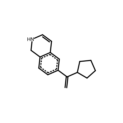 C=C(c1ccc2c(c1)C=CNC2)C1CCCC1